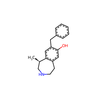 C[C@@H]1CNCCc2cc(O)c(Cc3ccccc3)cc21